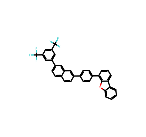 FC(F)(F)c1cc(-c2ccc3ccc(-c4ccc(-c5cccc6c5oc5ccccc56)cc4)cc3c2)cc(C(F)(F)F)c1